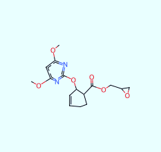 COc1cc(OC)nc(OC2C=CCCC2C(=O)OCC2CO2)n1